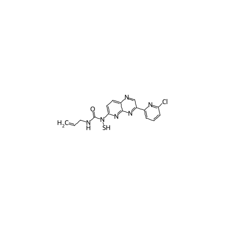 C=CCNC(=O)N(S)c1ccc2ncc(-c3cccc(Cl)n3)nc2n1